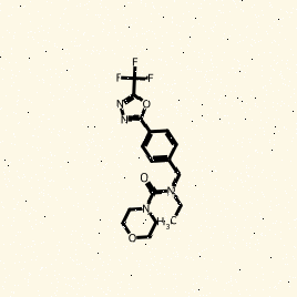 CCN(Cc1ccc(-c2nnc(C(F)(F)F)o2)cc1)C(=O)N1CCOCC1